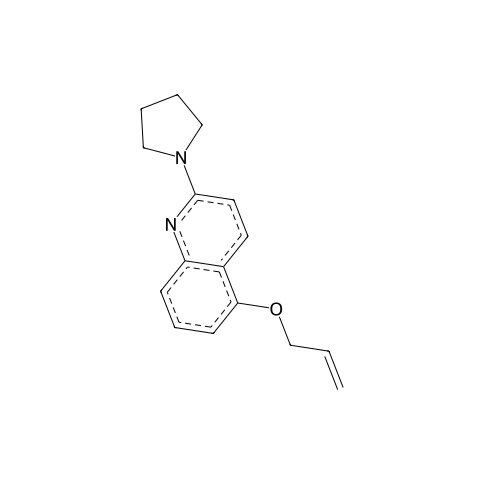 C=CCOc1cccc2nc(N3CCCC3)ccc12